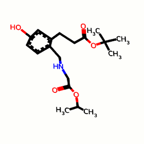 CC(C)OC(=O)CNCc1ccc(O)cc1CCC(=O)OC(C)(C)C